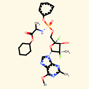 CCOc1nc(C)nc2c1ncn2[C@@H]1O[C@](F)(CO[P@@](=O)(NC(C)C(=O)OC2CCCCC2)Oc2ccccc2)[C@@H](O)[C@@]1(C)F